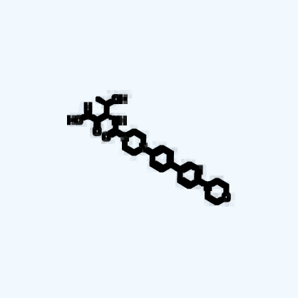 C[C@@H](O)[C@H](NC(=O)N1CCN(c2ccc(-c3ccc(N4CCOCC4)nc3)cc2)CC1)C(=O)NO